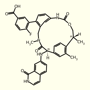 Cc1cc2ccc1[C@@H](C)COC(=O)Nc1ccc(-c3cc(C(=O)O)ccc3F)c(c1)CN(C)C(=O)[C@@H]2Nc1ccc2cc[nH]c(=O)c2c1